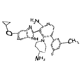 Cc1cc(F)cc(-c2cnc(N)c(-c3nc4cc(OC5CC5)ccc4[nH]3)c2N2CCC(N)CC2)c1